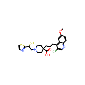 COc1ccc2ncc(Cl)c(CCCC3(C(=O)O)CCN(CC(S)c4nccs4)CC3)c2c1